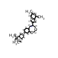 C=C[C@H]1CN(c2ccc3c(c2)OCOC/C(c2cn4cc(C)nc(C)c4n2)=C\3)C[C@@H]1N(C)C